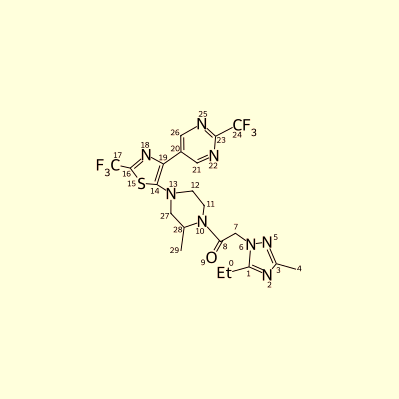 CCc1nc(C)nn1CC(=O)N1CCN(c2sc(C(F)(F)F)nc2-c2cnc(C(F)(F)F)nc2)CC1C